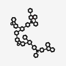 c1ccc(-c2ccc(N(c3ccc(-c4ccc(-c5cccc(-c6ccc7oc8ccc(-c9cc(-c%10ccc(N(c%11ccccc%11)c%11ccc(-c%12cc%13ccccc%13c%13ccccc%12%13)cc%11)cc%10)ccc9-c9ccccc9)cc8c7c6)c5)c(-c5ccc6oc7ccccc7c6c5)c4)cc3)c3ccccc3-c3ccccc3)cc2)cc1